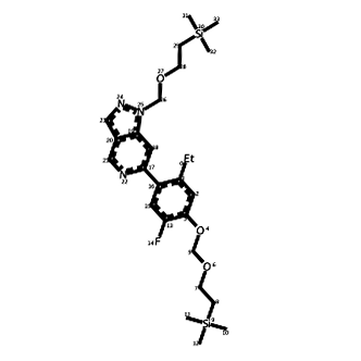 CCc1cc(OCOCC[Si](C)(C)C)c(F)cc1-c1cc2c([c]n1)cnn2COCC[Si](C)(C)C